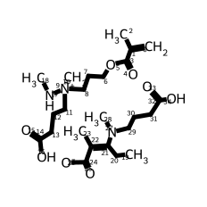 C=C(C)C(=O)OCCC[N+](C)(CCCC(=O)O)NC.CCC(=C(C)C(=O)[O-])N(C)CCCC(=O)O